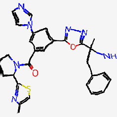 Cc1csc(C2CCCN2C(=O)c2cc(-c3nnc(C(C)(N)Cc4ccccc4)o3)cc(-n3ccnc3)c2)n1